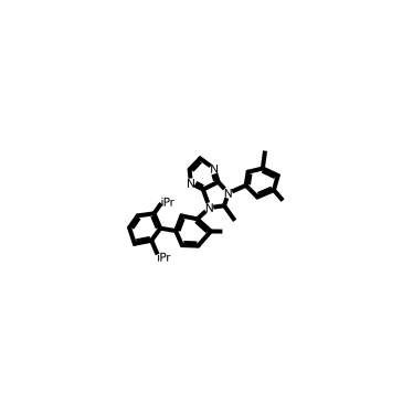 Cc1cc(C)cc(N2c3nccnc3N(c3cc(-c4c(C(C)C)cccc4C(C)C)ccc3C)C2C)c1